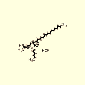 CCCCCCCCCCCCCCCC(=O)N[C@@H](CCCNC(=N)N)C(=O)OCCCCCC.Cl